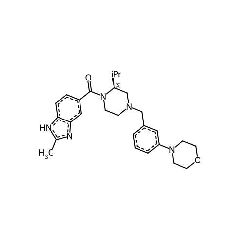 Cc1nc2cc(C(=O)N3CCN(Cc4cccc(N5CCOCC5)c4)C[C@@H]3C(C)C)ccc2[nH]1